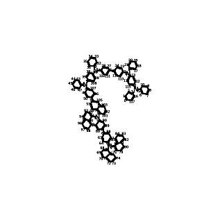 c1ccc(N(c2ccccc2)c2ccc(N(c3ccccc3)c3ccc(-c4ccc(N(c5ccccc5)c5ccc(N(c6ccccc6)c6ccc(-c7ccc8c(N(c9ccc(-c%10ccc(N(c%11cccc%12ccccc%11%12)c%11cccc%12ccccc%11%12)cc%10)cc9)c9cccc%10ccccc9%10)cccc8c7)cc6)cc5)cc4)cc3)cc2)cc1